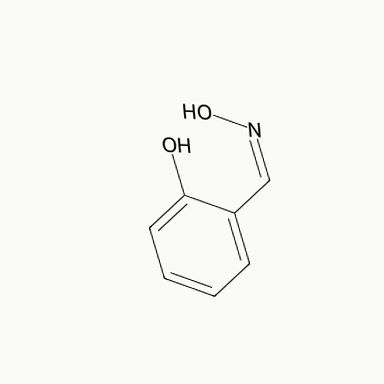 O/N=C\c1ccccc1O